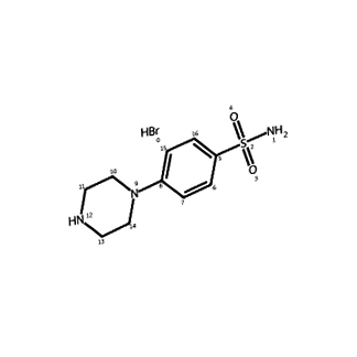 Br.NS(=O)(=O)c1ccc(N2CCNCC2)cc1